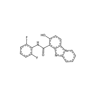 O=C(Nc1c(F)cccc1F)c1c(O)ccc2c1nc1ccccn12